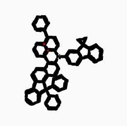 c1ccc(-c2ccc(N(c3ccc4c(c3)C3(CC3)c3ccccc3-4)c3ccc4c5c(ccc4c3-c3ccccc3)-c3ccccc3C5(c3ccccc3)c3ccccc3)cc2)cc1